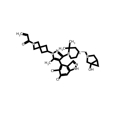 C=CC(=O)N1CC2(CC(n3nc(N4CC[C@@H](CN5CC6CC6(O)C5)CC4(C)C)c(-c4c(Cl)c(Cl)cc5[nH]ncc45)c3C)C2)C1